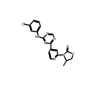 CC1COC(=O)N1c1cc(-c2ncnc(Nc3cccc(Cl)c3)n2)ccn1